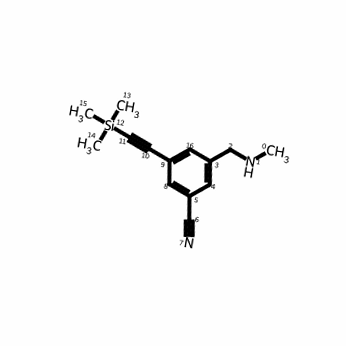 CNCc1cc(C#N)cc(C#C[Si](C)(C)C)c1